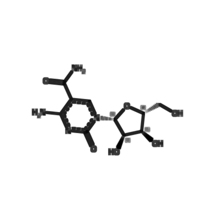 NC(=O)c1cn([C@@H]2O[C@H](CO)[C@@H](O)[C@H]2O)c(=O)nc1N